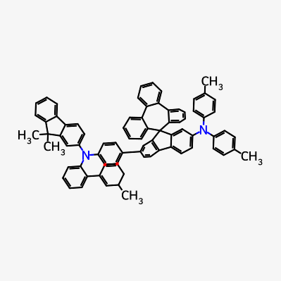 Cc1ccc(N(c2ccc(C)cc2)c2ccc3c(c2)C2(c4ccccc4-c4ccccc4-c4ccccc42)c2cc(-c4ccc(N(c5ccc6c(c5)C(C)(C)c5ccccc5-6)c5ccccc5C5=CC(C)CC=C5)cc4)ccc2-3)cc1